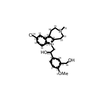 COc1ccc(C(O)Cn2c3c(c4cc(Cl)ccc42)CCN(C)CC3)cc1CO